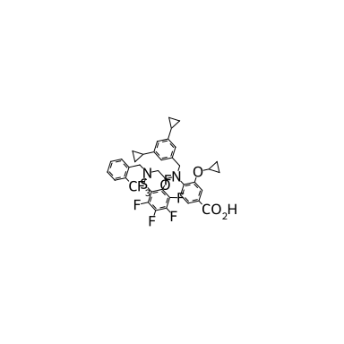 O=C(O)c1ccc(N(Cc2cc(C3CC3)cc(C3CC3)c2)C(=O)CN(Cc2ccccc2C(F)(F)F)Sc2c(F)c(F)c(F)c(F)c2F)c(OC2CC2)c1